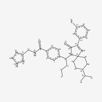 CCCC(c1ccc(C(=O)NCc2nn[nH]n2)cc1)N1C(=O)C(c2cccc(F)c2)=NC12CCC(C(C)C)CC2